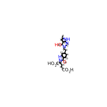 Cc1cc2c([nH]1)N=CN(CCc1ccc(C(=O)N[C@@H](CCC(=O)O)C(=O)O)cc1)C2O